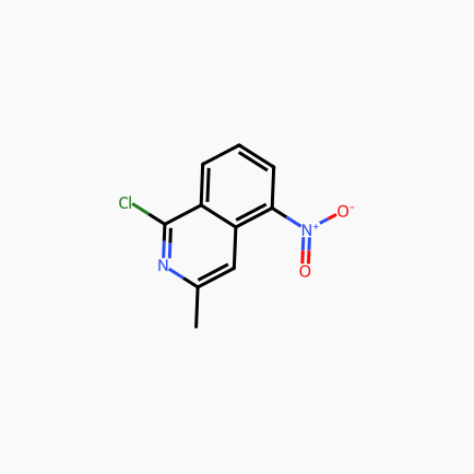 Cc1cc2c([N+](=O)[O-])cccc2c(Cl)n1